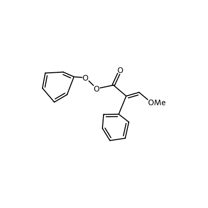 COC=C(C(=O)OOc1ccccc1)c1ccccc1